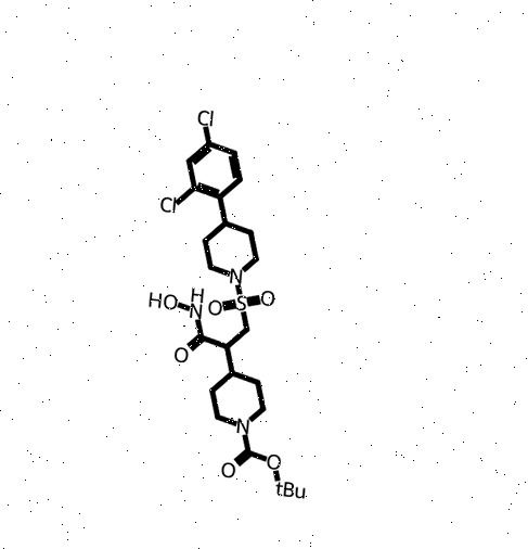 CC(C)(C)OC(=O)N1CCC(C(CS(=O)(=O)N2CCC(c3ccc(Cl)cc3Cl)CC2)C(=O)NO)CC1